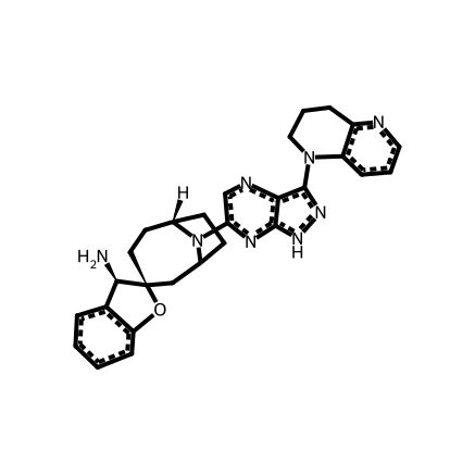 N[C@@H]1c2ccccc2O[C@]12CC[C@@H]1CCC(C2)N1c1cnc2c(N3CCCc4ncccc43)n[nH]c2n1